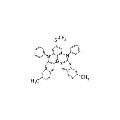 Cc1ccc2cc3c(cc2c1)N(c1ccccc1)c1cc(SC(F)(F)F)cc2c1B3c1cc3ccc(C)cc3cc1N2c1ccccc1